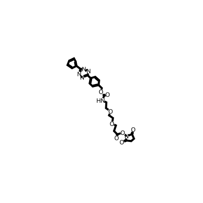 O=C(CCOCCOCCNC(=O)OCc1ccc(-c2nnc(-c3ccccc3)nn2)cc1)ON1C(=O)CCC1=O